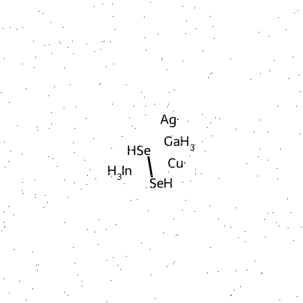 [Ag].[Cu].[GaH3].[InH3].[SeH][SeH]